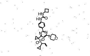 C=CC(C1CC1)S(=O)(=O)C1(c2cc(N3CCOCC3)nc(-c3ccc(NC(=O)NC4CCC4)cc3)n2)CC1